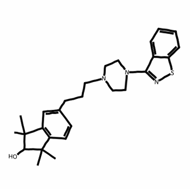 CC1(C)c2ccc(CCCN3CCN(c4nsc5ccccc45)CC3)cc2C(C)(C)C1O